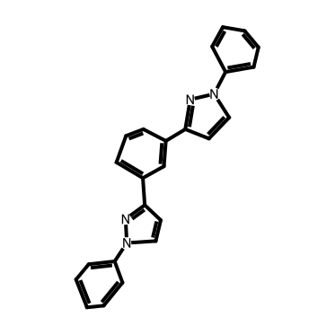 c1ccc(-n2ccc(-c3cccc(-c4ccn(-c5ccccc5)n4)c3)n2)cc1